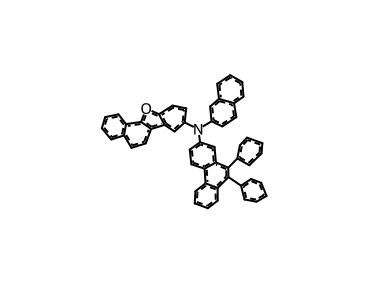 c1ccc(-c2c(-c3ccccc3)c3cc(N(c4ccc5ccccc5c4)c4ccc5oc6c7ccccc7ccc6c5c4)ccc3c3ccccc23)cc1